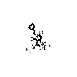 CCc1cc2c(c(OCC(F)(F)F)c(C)n2C)c(=O)n1CCc1ccccc1